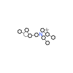 CC1(C)c2cc(-c3ccccc3)ccc2-c2c(N(c3ccc(-c4ccccc4)cc3)c3ccc(-c4ccc5c(c4)-c4ccccc4C(c4ccccc4)CC5)cc3)cccc21